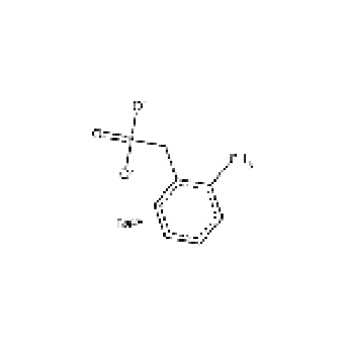 Cc1ccccc1CP(=O)([O-])[O-].[Ba+2]